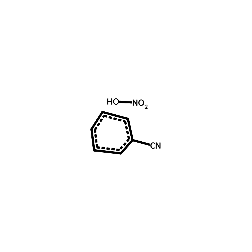 N#Cc1ccccc1.O=[N+]([O-])O